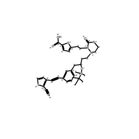 CC(C)(C)[Si](C)(C)OC(CCN1CCSC(=O)N1CCc1ccc(C(=O)O)s1)Cc1cccc(C#Cc2ccsc2C#N)c1